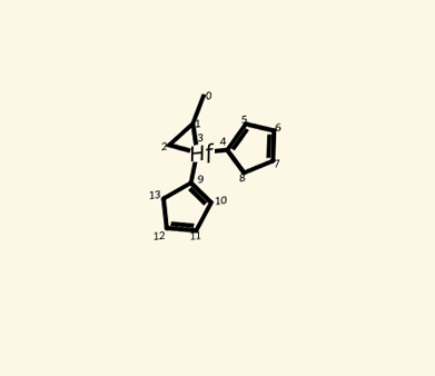 C[CH]1[CH2][Hf]1([C]1=CC=CC1)[C]1=CC=CC1